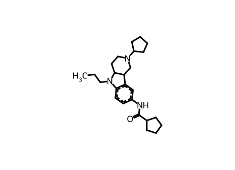 CCCN1c2ccc(NC(=O)C3CCCC3)cc2C2CN(C3CCCC3)CCC21